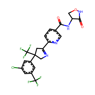 O=C(NC1CONC1=O)c1ccc(C2=NCC(c3cc(Cl)cc(C(F)(F)F)c3)(C(F)(F)F)C2)nc1